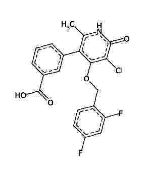 Cc1[nH]c(=O)c(Cl)c(OCc2ccc(F)cc2F)c1-c1cccc(C(=O)O)c1